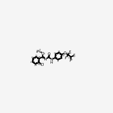 CC(C)OC(=NC(=O)Nc1ccc(OC(F)(F)C(F)F)cc1)c1ccccc1Cl